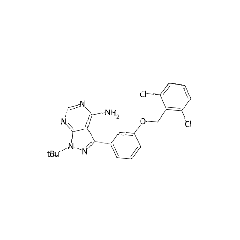 CC(C)(C)n1nc(-c2cccc(OCc3c(Cl)cccc3Cl)c2)c2c(N)ncnc21